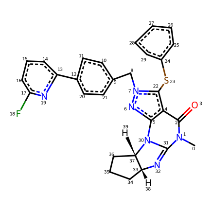 CN1C(=O)c2c(nn(Cc3ccc(-c4cccc(F)n4)cc3)c2Sc2ccccc2)N2C1=N[C@@H]1CCC[C@@H]12